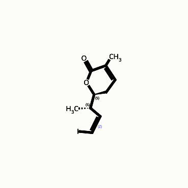 CC1=CC[C@@H]([C@@H](C)/C=C\I)OC1=O